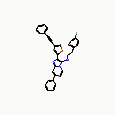 Clc1ccc(CCNc2c(-c3cc(C#Cc4ccccc4)cs3)nc3cc(-c4ccccc4)ccn23)cc1